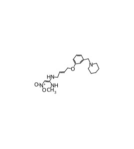 CN/C(=C\[N+](=O)[O-])NC/C=C/COc1cccc(CN2CCCCC2)c1